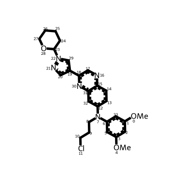 COc1cc(OC)cc(N(CCCCl)c2ccc3ncc(-c4cnn(C5CCCCO5)c4)nc3c2)c1